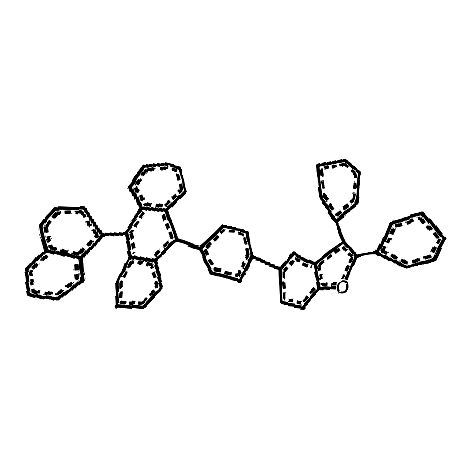 c1ccc(-c2oc3ccc(-c4ccc(-c5c6ccccc6c(-c6cccc7ccccc67)c6ccccc56)cc4)cc3c2-c2ccccc2)cc1